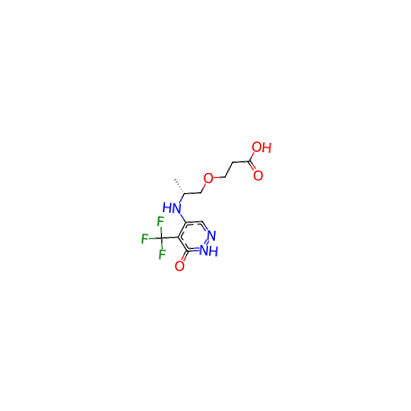 C[C@H](COCCC(=O)O)Nc1cn[nH]c(=O)c1C(F)(F)F